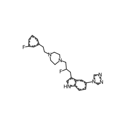 Fc1cccc(CCN2CCN(CC(F)Cc3c[nH]c4ccc(-n5cnnc5)cc34)CC2)c1